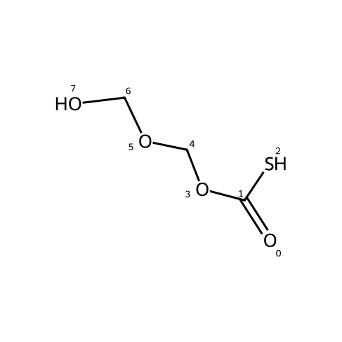 O=C(S)OCOCO